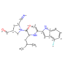 C=C(NC(CC(C)C)C(=O)N1CC(C=O)CC1C#N)c1cc2c(F)cccc2[nH]1